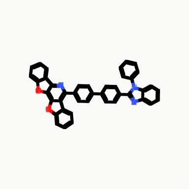 c1ccc(-n2c(-c3ccc(-c4ccc(-c5nc6c7ccccc7oc6c6oc7ccccc7c56)cc4)cc3)nc3ccccc32)cc1